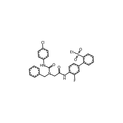 CCS(=O)(=O)c1ccccc1-c1ccc(NC(=O)CN(Cc2ccccc2)C(=O)Nc2ccc(Cl)cc2)c(F)c1